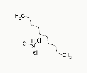 CCCCCCCCCC.Cl[SiH](Cl)Cl